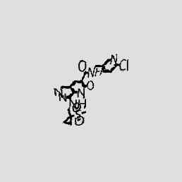 Cn1c(=O)c(C(=O)NCc2ccc(Cl)nc2)cc2cnnc(NCC3(S(C)(=O)=O)CC3)c21